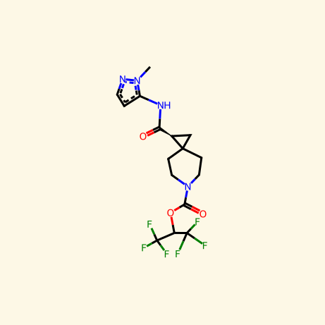 Cn1nccc1NC(=O)[C@H]1CC12CCN(C(=O)OC(C(F)(F)F)C(F)(F)F)CC2